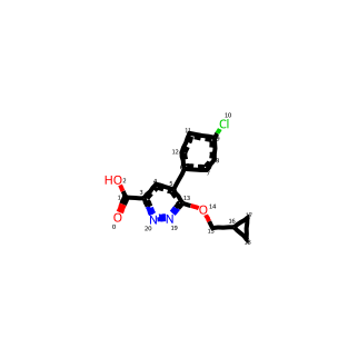 O=C(O)c1cc(-c2ccc(Cl)cc2)c(OCC2CC2)nn1